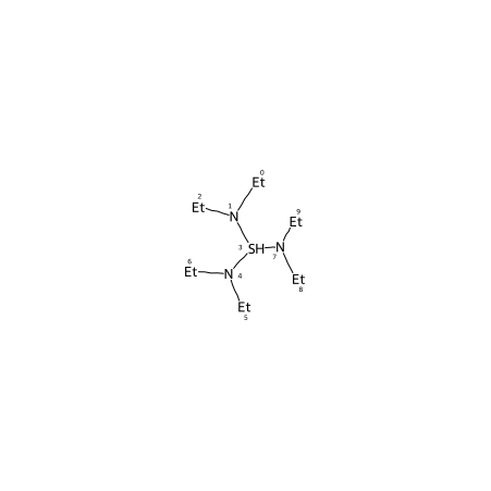 CCN(CC)[SH](N(CC)CC)N(CC)CC